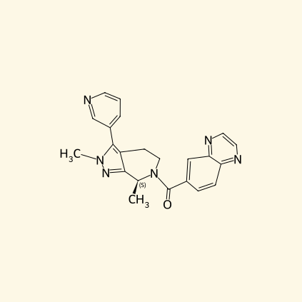 C[C@H]1c2nn(C)c(-c3cccnc3)c2CCN1C(=O)c1ccc2nccnc2c1